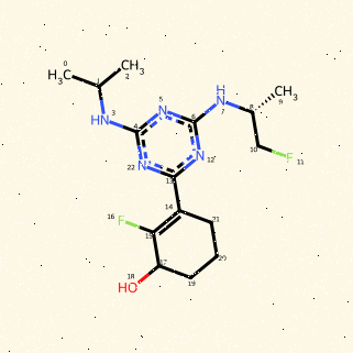 CC(C)Nc1nc(N[C@H](C)CF)nc(C2=C(F)C(O)CCC2)n1